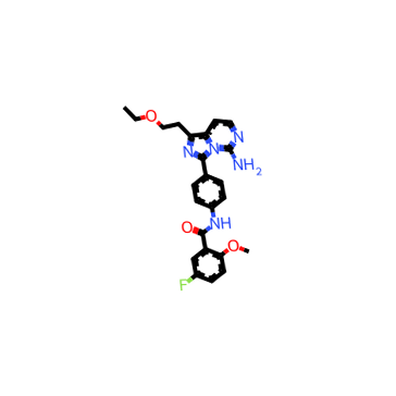 CCOCCc1nc(-c2ccc(NC(=O)c3cc(F)ccc3OC)cc2)n2c(N)nccc12